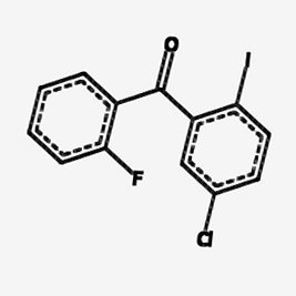 O=C(c1ccccc1F)c1cc(Cl)ccc1I